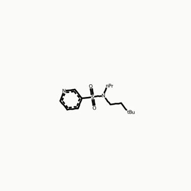 CCCN(CCC(C)(C)C)S(=O)(=O)c1cccnc1